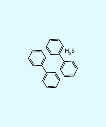 S.c1ccc(-c2ccccc2)cc1.c1ccc(-c2ccccc2)cc1